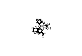 O=C(O)NC[C@H]1CNC[C@H]1O.O=Cc1cc2c(nn1)OCCO2